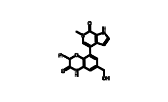 CC(C)C1Oc2c(cc(CO)cc2-c2cn(C)c(=O)c3[nH]ccc23)NC1=O